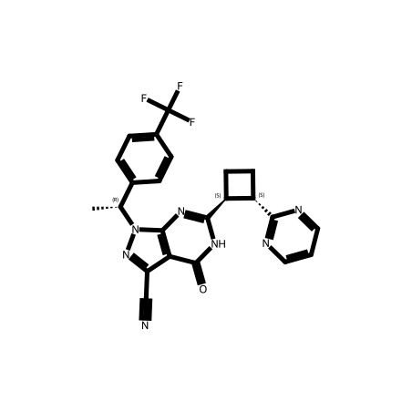 C[C@H](c1ccc(C(F)(F)F)cc1)n1nc(C#N)c2c(=O)[nH]c([C@H]3CC[C@@H]3c3ncccn3)nc21